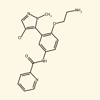 Cn1ncc(Cl)c1-c1cc(NC(=O)c2ccccn2)ccc1OCCN